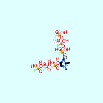 CCn1cc[n+](C)c1C.O=P(O)(O)F.O=P(O)(O)F.O=P(O)(O)F.O=P(O)(O)F.O=P(O)(O)F.O=P([O-])(O)F